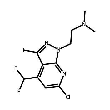 CN(C)CCn1nc(I)c2c(C(F)F)cc(Cl)nc21